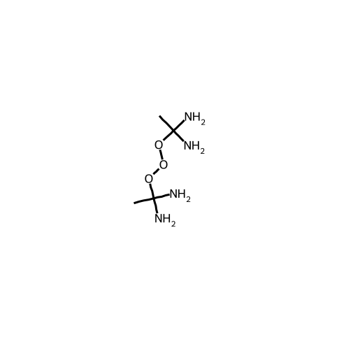 CC(N)(N)OOOC(C)(N)N